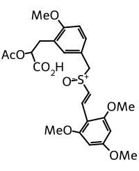 COc1cc(OC)c(/C=C/[S+]([O-])Cc2ccc(OC)c(CC(OC(C)=O)C(=O)O)c2)c(OC)c1